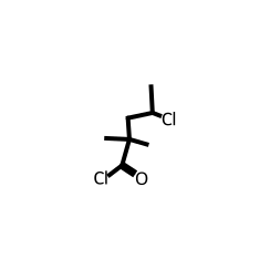 CC(Cl)CC(C)(C)C(=O)Cl